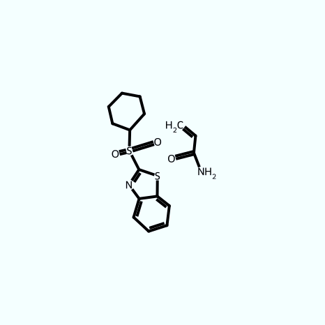 C=CC(N)=O.O=S(=O)(c1nc2ccccc2s1)C1CCCCC1